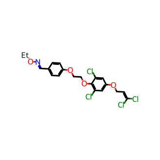 CCO/N=C/c1ccc(OCCOc2c(Cl)cc(OCC=C(Cl)Cl)cc2Cl)cc1